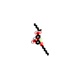 CCCCCCCCCOc1ccc(C(=O)O)c(-c2ccc(C(=O)OC(C)CCCCCC)cc2)c1F